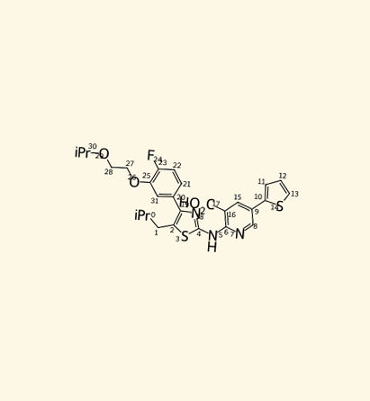 CC(C)Cc1sc(Nc2ncc(-c3cccs3)cc2C(=O)O)nc1-c1ccc(F)c(OCCOC(C)C)c1